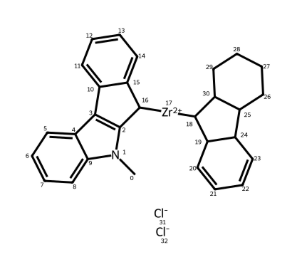 Cn1c2c(c3ccccc31)-c1ccccc1[CH]2[Zr+2][CH]1C2C=CC=CC2C2CCCCC21.[Cl-].[Cl-]